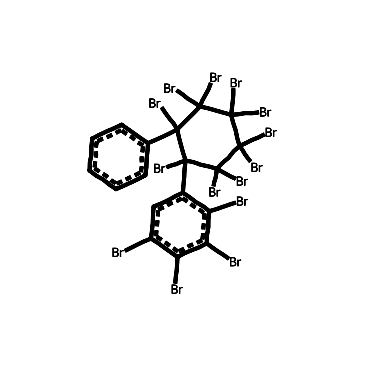 Brc1cc(C2(Br)C(Br)(Br)C(Br)(Br)C(Br)(Br)C(Br)(Br)C2(Br)c2ccccc2)c(Br)c(Br)c1Br